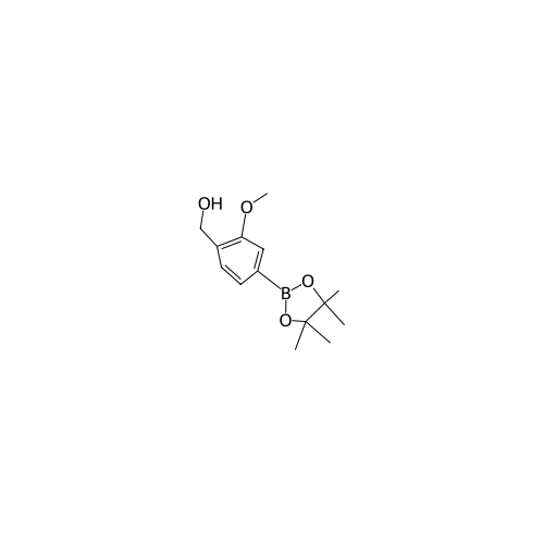 COc1cc(B2OC(C)(C)C(C)(C)O2)ccc1CO